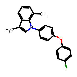 Cc1cn(-c2ccc(Oc3ccc(F)cc3)cc2)c2c(C)cccc12